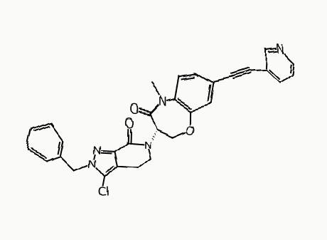 CN1C(=O)[C@@H](N2CCc3c(nn(Cc4ccccc4)c3Cl)C2=O)COc2cc(C#Cc3cccnc3)ccc21